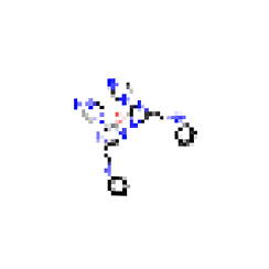 c1ccc(NCCc2cnc(Oc3ncc(CCNc4ccccc4)nc3N3CCNCC3)c(N3CCNCC3)n2)cc1